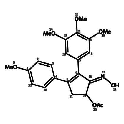 COc1ccc(C2=C(c3cc(OC)c(OC)c(OC)c3)C(=NO)C(OC(C)=O)C2)cc1